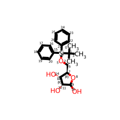 CC(C)(C)[Si](OC[C@H]1OC(O)[C@H](O)[C@@H]1O)(c1ccccc1)c1ccccc1